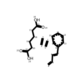 C=C.C=C.C=CC=Cc1ccccc1.O=C(O)CCCCC(=O)O